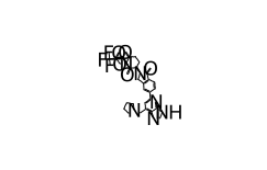 O=C1CCC(N2Cc3cc(-c4cc(CN5CCCC5)c5nc[nH]c5n4)ccc3C2=O)C(=O)N1OC(=O)C(F)(F)F